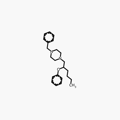 CCCCC(CN1CCN(Cc2ccccc2)CC1)Oc1ccccc1